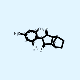 Cc1cc(C)c(C2C(=O)C3C4CCC(C4)C3C2=O)c(C)c1